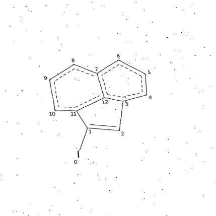 IC1=Cc2cccc3cccc1c23